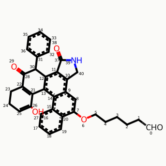 O=CCCCCCOc1cc2c3c(c4c(c2c2ccccc12)C1=C(CCC=C1O)C(=O)C4c1ccccc1)C(=O)NC3